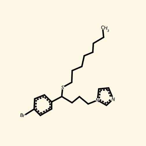 CCCCCCCCSC(CCCn1ccnc1)c1ccc(Br)cc1